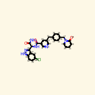 NC(=O)C(NC(=O)c1cncc(Cc2ccc(Cn3ccccc3=O)cc2)c1)c1n[nH]c2ccc(Cl)cc12